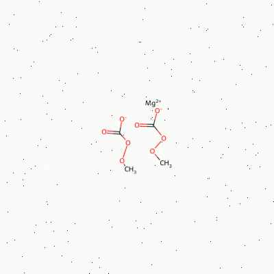 COOC(=O)[O-].COOC(=O)[O-].[Mg+2]